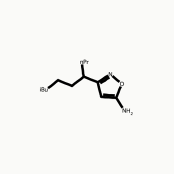 CCCC(CCC(C)CC)c1cc(N)on1